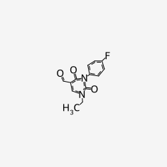 CCn1cc(C=O)c(=O)n(-c2ccc(F)cc2)c1=O